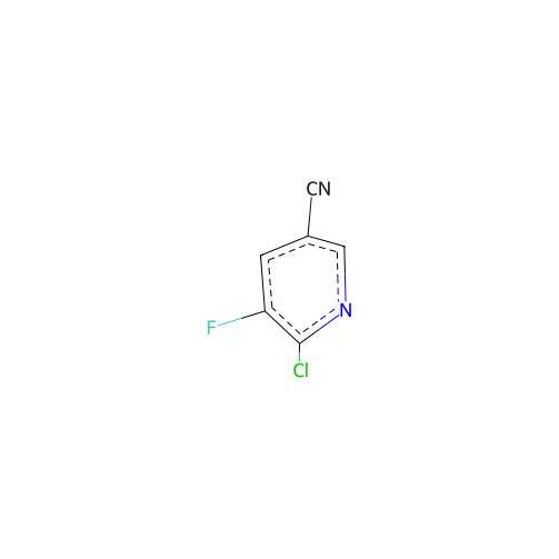 N#Cc1cnc(Cl)c(F)c1